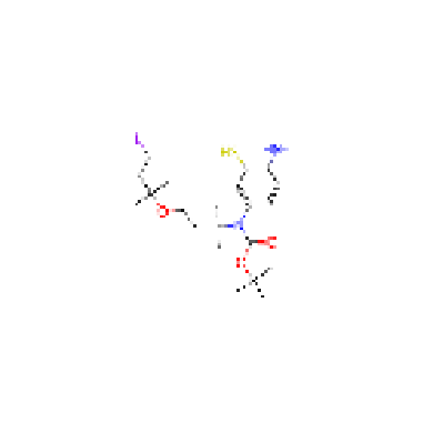 CNc1ccc(N(C(=O)OC(C)(C)C)C(C)(C)CCOC(C)(C)CCI)cc1S